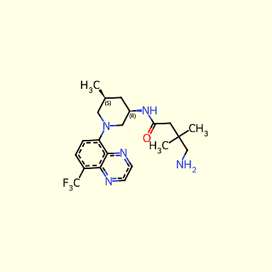 C[C@H]1C[C@@H](NC(=O)CC(C)(C)CN)CN(c2ccc(C(F)(F)F)c3nccnc23)C1